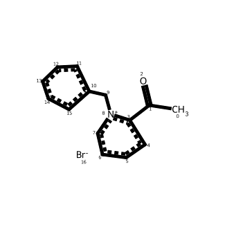 CC(=O)c1cccc[n+]1Cc1ccccc1.[Br-]